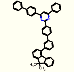 CC1(C)c2ccccc2-c2c(-c3cccc(-c4ccc(-c5nc(-c6ccccc6)cc(-c6ccc(-c7ccccc7)cc6)n5)cc4)c3)cccc21